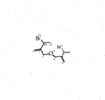 C=C(COCC(=C)C(C)Br)C(C)Br